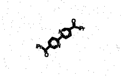 CC(C)C(=O)c1ccc(-c2ccc(C(=O)C(C)C)cn2)nc1